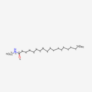 CCCCCCCCCCCCCCCCCCCCCCCCCCC(=O)NCCCCCCCC